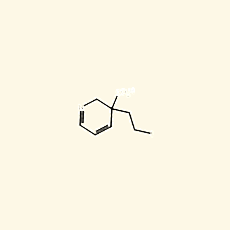 O=C(O)C1(CCI)C=CC=NC1